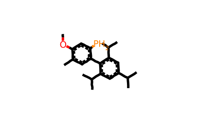 COc1cc(P)c(-c2c(C(C)C)cc(C(C)C)cc2C(C)C)cc1C